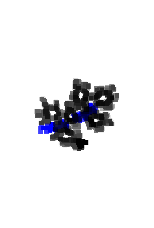 [Ir].c1ccc(C2Nc3ccccc3N2c2ccccc2)cc1.c1ccc(C2Nc3ccccc3N2c2ccccc2)cc1